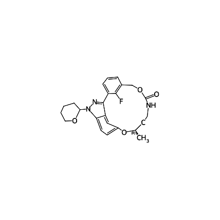 C[C@@H]1CCNC(=O)OCc2cccc(c2F)-c2nn(C3CCCCO3)c3ccc(cc23)O1